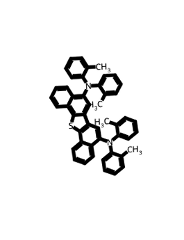 Cc1ccccc1N(c1ccccc1C)c1cc2c3cc(N(c4ccccc4C)c4ccccc4C)c4ccccc4c3sc2c2ccccc12